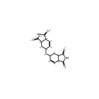 O=C1NC(=O)C2CC(SC3C=CC4C(=O)NC(=O)C4C3)C=CC12